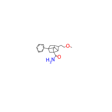 COCCC1C2CC3(c4ccccc4)CC1C(C(N)=O)(C2)C3